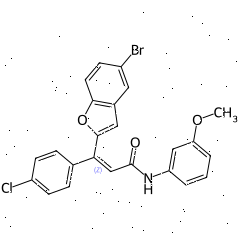 COc1cccc(NC(=O)/C=C(/c2ccc(Cl)cc2)c2cc3cc(Br)ccc3o2)c1